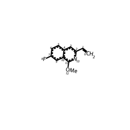 C=Cc1cc2ccc(F)cc2c(OC)n1